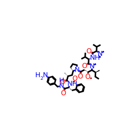 CC[C@H](C)C([C@@H](CC(=O)N1CCC[C@H]1[C@H](OC)[C@@H](C)C(=O)N[C@H](Cc1ccccc1)C(=O)NCc1ccc(N)cc1)OC)N(C)C(=O)[C@@H](NC(=O)C(C(C)C)N(C)C)C(C)C